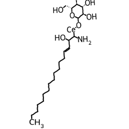 CCCCCCCCCCCCC/C=C/C(O)[CH](N)[Ce][O]C1O[C@H](CO)[C@@H](O)[C@H](O)[C@H]1O